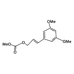 COC(=O)OCC=Cc1cc(OC)cc(OC)c1